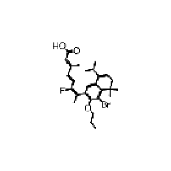 CCCOc1c(\C(C)=C(F)/C=C/C(C)=C/C(=O)O)cc2c(c1Br)C(C)(C)CC=C2C(C)C